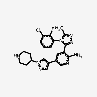 Cc1nnc(-c2cc(-c3cnn(C4CCNCC4)c3)cnc2N)n1-c1cccc(Cl)c1F